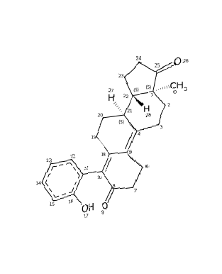 C[C@]12CCC3=C4CCC(=O)C(c5ccccc5O)=C4CC[C@H]3[C@@H]1CCC2=O